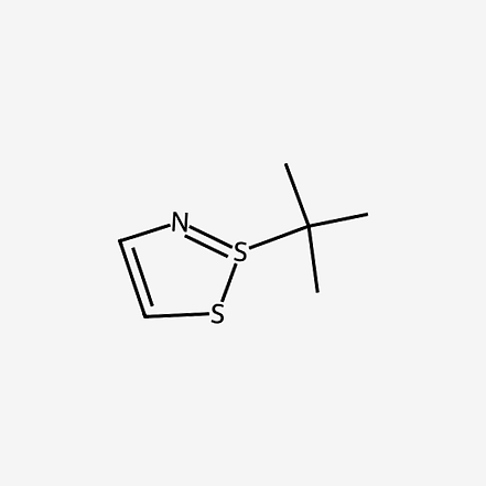 CC(C)(C)S1=NC=CS1